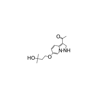 CC(=O)C1=C2C=CC(OCCC(C)(C)O)=CN2NC1